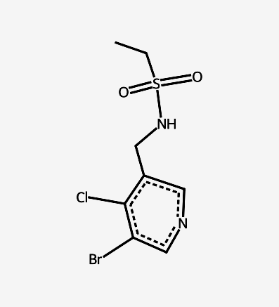 CCS(=O)(=O)NCc1cncc(Br)c1Cl